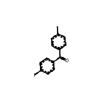 Cc1ccc(C(=O)c2ccc(I)cc2)cc1